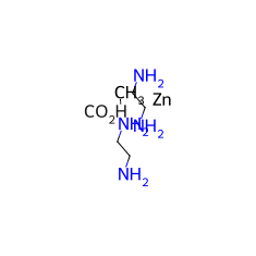 CC(=O)O.NCCN.NCCN.[Zn]